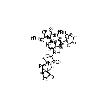 Cc1cccnc1CN(C(=O)C(=O)Nc1cnc(N(C(=O)OC(C)(C)C)C(=O)OC(C)(C)C)c2cn(C3CCCCO3)nc12)C(C)C(C)C